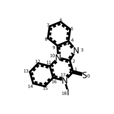 S=c1c2nc3ccccc3n2c2ccccc2n1I